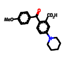 COc1ccc(C(=O)c2ccc(N3CCCCC3)cc2C(=O)O)cc1